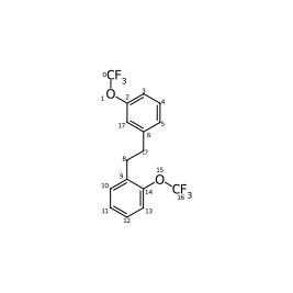 FC(F)(F)Oc1cccc([CH]Cc2ccccc2OC(F)(F)F)c1